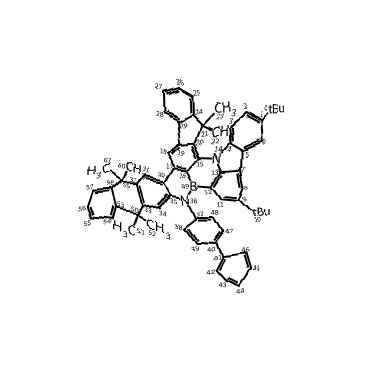 CC(C)(C)c1ccc2c(c1)c1cc(C(C)(C)C)cc3c1n2-c1c2c(cc4c1C(C)(C)c1ccccc1-4)-c1cc4c(cc1N(c1ccc(-c5ccccc5)cc1)B23)C(C)(C)c1ccccc1C4(C)C